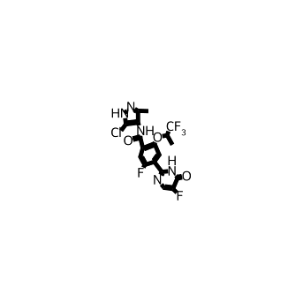 Cc1n[nH]c(Cl)c1NC(=O)c1cc(F)c(-c2ncc(F)c(=O)[nH]2)cc1OC(C)C(F)(F)F